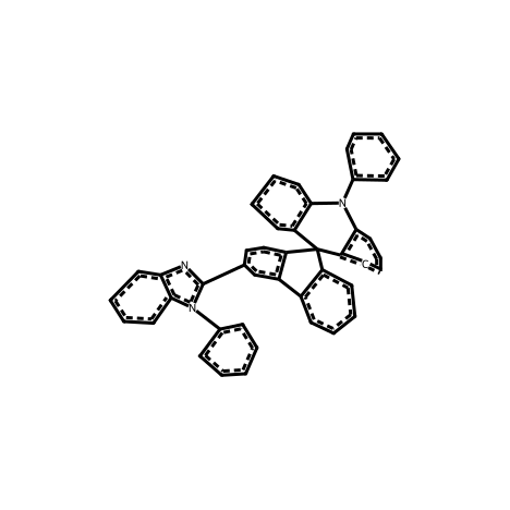 c1ccc(N2c3ccccc3C3(c4ccccc4-c4cc(-c5nc6ccccc6n5-c5ccccc5)ccc43)c3ccccc32)cc1